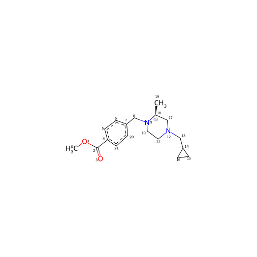 COC(=O)c1ccc(CN2CCN(CC3CC3)C[C@@H]2C)cc1